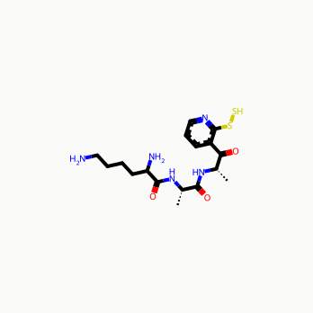 C[C@H](NC(=O)C(N)CCCCN)C(=O)N[C@@H](C)C(=O)c1cccnc1SS